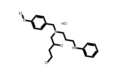 CCOc1ccc(CN(CCCNc2ccccc2)CC(Cl)CCCl)cc1.Cl